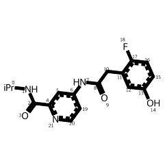 CC(C)NC(=O)c1cc(NC(=O)Cc2cc(O)ccc2F)ccn1